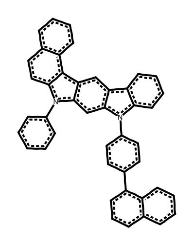 c1ccc(-n2c3cc4c(cc3c3c5ccccc5ccc32)c2ccccc2n4-c2ccc(-c3cccc4ccccc34)cc2)cc1